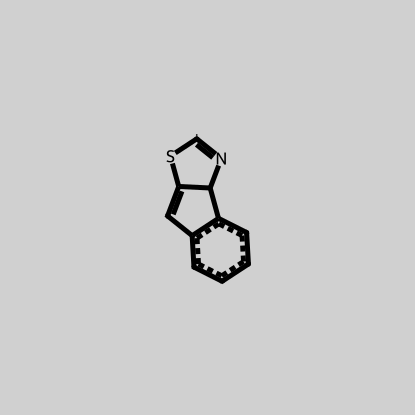 [C]1=NC2C(=Cc3ccccc32)S1